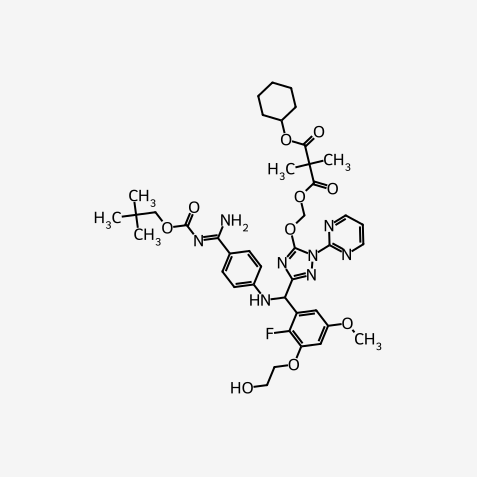 COc1cc(OCCO)c(F)c(C(Nc2ccc(/C(N)=N/C(=O)OCC(C)(C)C)cc2)c2nc(OCOC(=O)C(C)(C)C(=O)OC3CCCCC3)n(-c3ncccn3)n2)c1